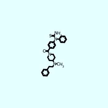 CN(CCc1ccccc1)C1CCN(C(=O)c2ccc(N(C(N)=S)c3ccccc3)cc2)CC1